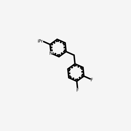 CC(C)c1ccc(Cc2ccc(F)c(F)c2)cn1